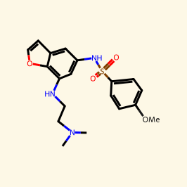 COc1ccc(S(=O)(=O)Nc2cc(NCCN(C)C)c3occc3c2)cc1